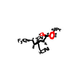 CC(C)OC(=O)CC(C#N)(C#N)CCC(F)(F)F